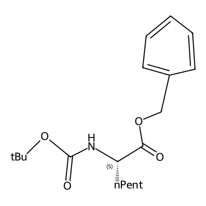 CCCCC[C@H](NC(=O)OC(C)(C)C)C(=O)OCc1ccccc1